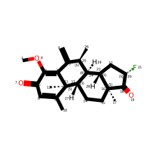 C=C1C2=C(OC)C(=O)C=C(C)[C@]2(C)[C@H]2CC[C@]3(C)C(=O)[C@@H](F)C[C@H]3[C@@H]2[C@@H]1C